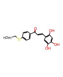 CCCCCCCCCCCSc1ccc(C(=O)C=Cc2cc(O)c(O)cc2O)cc1